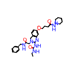 CCNC(=O)NC1=Nc2cc(OCCCC(=O)NN3CCCCC3)ccc2CN1CC(=O)NCc1ccccc1